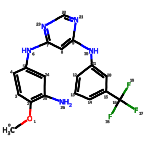 COc1ccc(Nc2cc(Nc3cccc(C(F)(F)F)c3)ncn2)cc1N